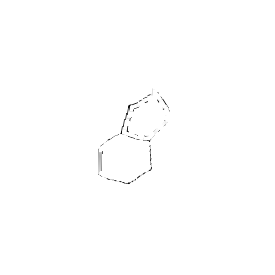 C1=Cc2cnsc2CC1